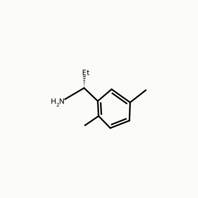 CC[C@@H](N)c1cc(C)ccc1C